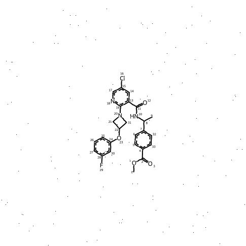 COC(=O)c1ccc(C(C)NC(=O)c2cc(Cl)cnc2N2CC(Oc3cccc(F)c3)C2)cc1